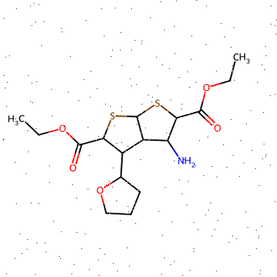 CCOC(=O)C1SC2SC(C(=O)OCC)C(C3CCCO3)C2C1N